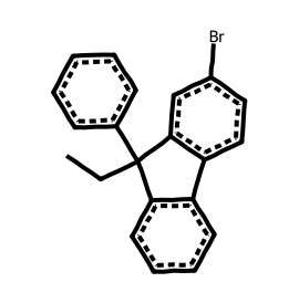 CCC1(c2ccccc2)c2ccccc2-c2ccc(Br)cc21